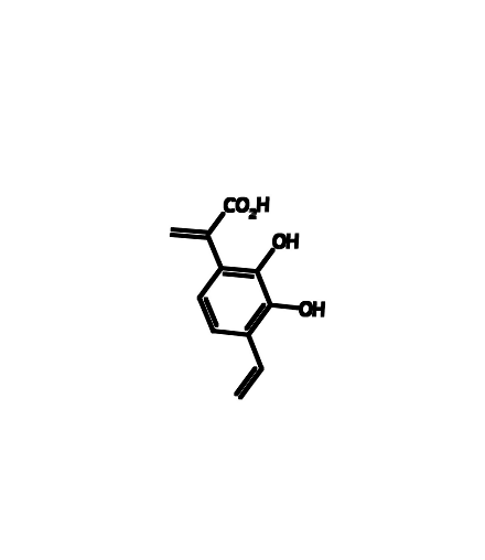 C=Cc1ccc(C(=C)C(=O)O)c(O)c1O